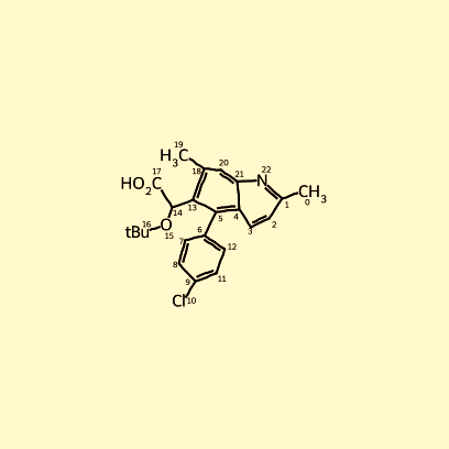 Cc1ccc2c(-c3ccc(Cl)cc3)c(C(OC(C)(C)C)C(=O)O)c(C)cc2n1